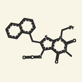 CC(C)Cn1c(=O)n(C)c(=O)c2c(N=C=O)c(Cc3cccc4ccccc34)sc21